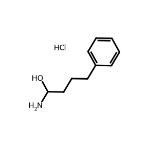 Cl.NC(O)CCCc1ccccc1